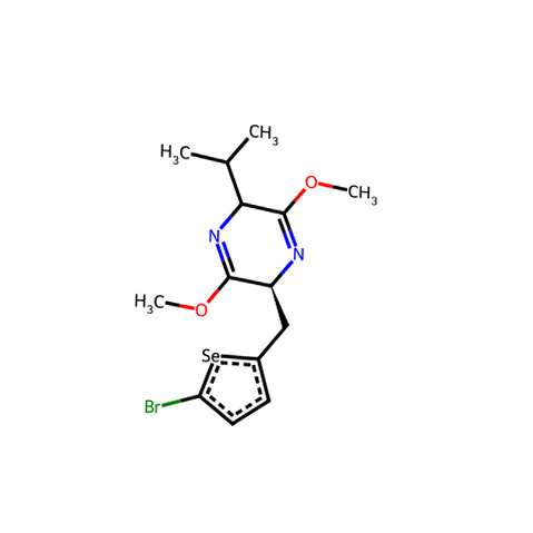 COC1=N[C@@H](Cc2ccc(Br)[se]2)C(OC)=NC1C(C)C